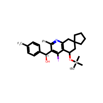 CC(C)c1nc2c(c(I)c1[C@@H](O)c1ccc(C(F)(F)F)cc1)C(O[Si](C)(C)C(C)(C)C)CC1(CCCC1)C2